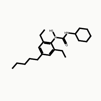 CCCCCc1cc(CC)c(N(S)C(=O)NC2CCCCC2)c(CC)c1